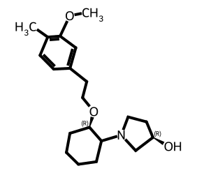 COc1cc(CCO[C@@H]2CCCCC2N2CC[C@@H](O)C2)ccc1C